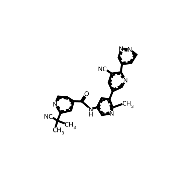 Cc1ncc(NC(=O)c2ccnc(C(C)(C)C#N)c2)cc1-c1cnc(-c2ccnnc2)c(C#N)c1